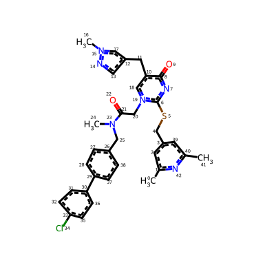 Cc1cc(CSc2nc(=O)c(Cc3cnn(C)c3)cn2CC(=O)N(C)Cc2ccc(-c3ccc(Cl)cc3)cc2)cc(C)n1